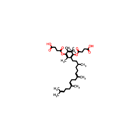 CC(C)=CCC/C(C)=C/CC/C(C)=C/CCC(C)CCc1c(C)c(OC(=O)CCC(=O)O)c(C)c(C)c1OC(=O)CCC(=O)O